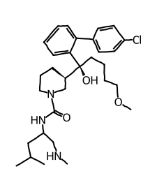 CNCC(CC(C)C)NC(=O)N1CCC[C@@H]([C@@](O)(CCCCOC)c2ccccc2-c2ccc(Cl)cc2)C1